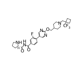 O=C(NC(=O)[C@@H]1CCCN1)c1ccc(-c2cnc(OCC3CCN(CC4(C(F)(F)F)CCC4)CC3)nc2)c(F)c1